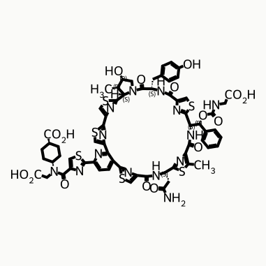 Cc1sc2nc1C(=O)N[C@@H]([C@H](OC(=O)NCC(=O)O)c1ccccc1)c1nc(cs1)C(=O)N[C@@H](Cc1ccc(O)cc1)C(=O)N1C[C@H](O)[C@H](C)[C@H]1c1nc(cs1)-c1nc(cs1)-c1nc(-c3nc(C(=O)N(CC(=O)O)[C@H]4CC[C@H](C(=O)O)CC4)cs3)ccc1-c1nc(cs1)C(=O)N[C@H]2CC(N)=O